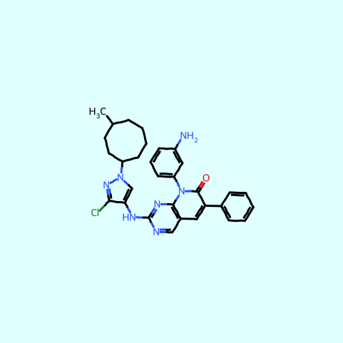 CC1CCCCC(n2cc(Nc3ncc4cc(-c5ccccc5)c(=O)n(-c5cccc(N)c5)c4n3)c(Cl)n2)CC1